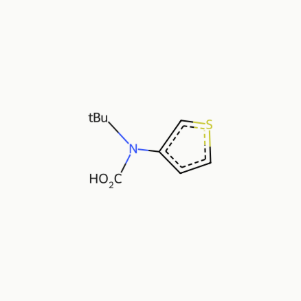 CC(C)(C)N(C(=O)O)c1ccsc1